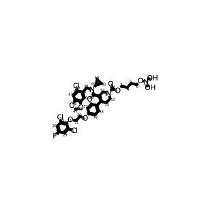 O=C(OCCCCON(O)O)N1CCC(c2ccc(OCCOc3c(Cl)cc(F)cc3Cl)cc2)=C(C(=O)N(Cc2cc3c(cc2Cl)OCO3)C2CC2)C1